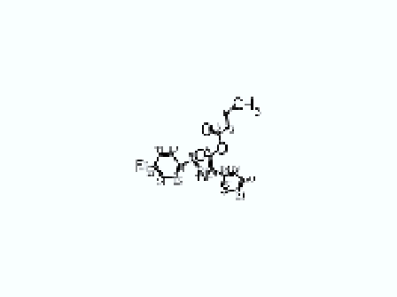 CCCC(=O)Oc1oc(-c2ccc(F)cc2)nc1-c1cccs1